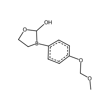 COCOc1ccc(B2CCOC2O)cc1